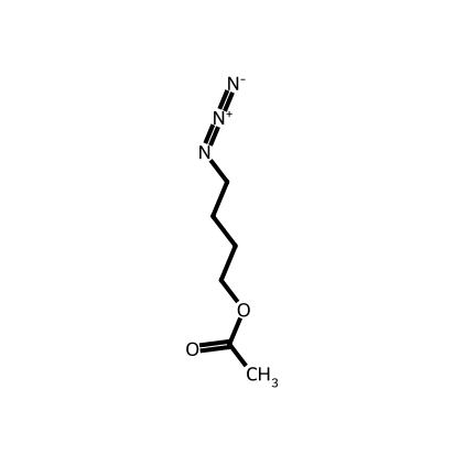 CC(=O)OCCCCN=[N+]=[N-]